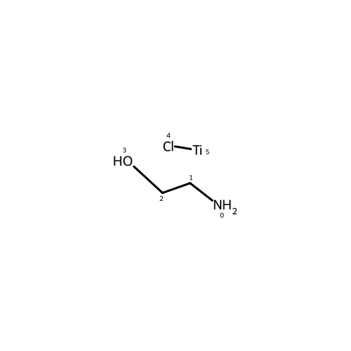 NCCO.[Cl][Ti]